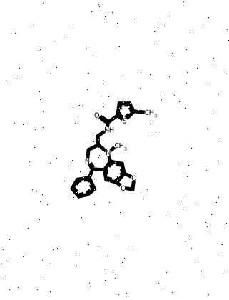 Cc1ccc(C(=O)NCC2CN=C(c3ccccc3)c3cc4c(cc3N2C)OCO4)s1